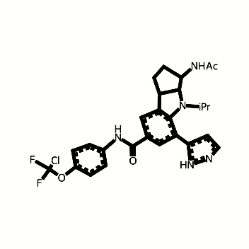 CC(=O)NC1CCC2c3cc(C(=O)Nc4ccc(OC(F)(F)Cl)cc4)cc(-c4ccn[nH]4)c3N(C(C)C)C12